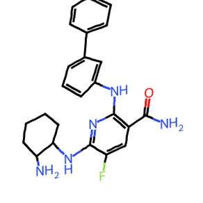 NC(=O)c1cc(F)c(NC2CCCCC2N)nc1Nc1cccc(-c2ccccc2)c1